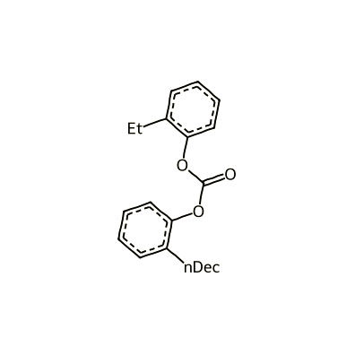 CCCCCCCCCCc1ccccc1OC(=O)Oc1ccccc1CC